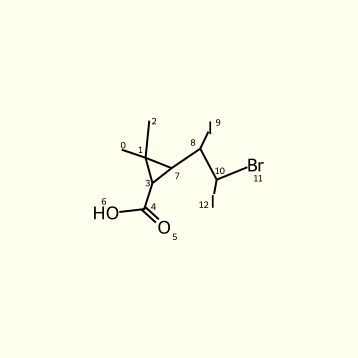 CC1(C)C(C(=O)O)C1C(I)C(Br)I